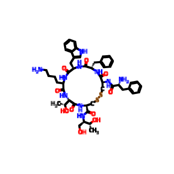 C[C@@H](O)[C@@H]1NC(=O)C(CCCCN)NC(=O)[C@@H](Cc2c[nH]c3ccccc23)NC(=O)[C@H](Cc2ccccc2)NC(=O)[C@@H](NC(=O)[C@H](N)Cc2ccccc2)CSSC[C@@H](C(=O)N[C@H](CO)[C@@H](C)O)NC1=O